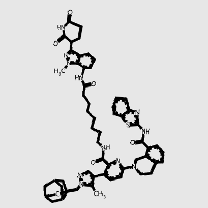 Cc1c(-c2ccc(N3CCc4cccc(C(=O)Nc5nc6ccccc6s5)c4C3)nc2C(=O)NCCCCCCCC(=O)Nc2cccc3c(C4CCC(=O)NC4=O)nn(C)c23)cnn1CC12CC3CC(CC1C3)C2